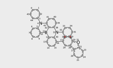 c1ccc(N2c3ccccc3B3c4cccc(-c5ccc6oc7ccccc7c6c5)c4N(c4ccccc4)c4cccc2c43)cc1